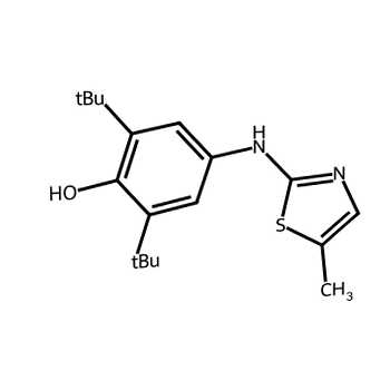 Cc1cnc(Nc2cc(C(C)(C)C)c(O)c(C(C)(C)C)c2)s1